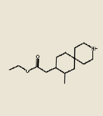 CCOC(=O)CC1CCC2(CCNCC2)CC1C